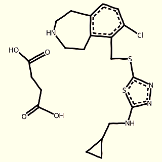 Clc1ccc2c(c1CSc1nnc(NCC3CC3)s1)CCNCC2.O=C(O)CCC(=O)O